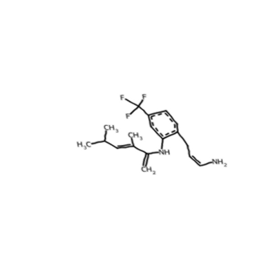 C=C(Nc1cc(C(F)(F)F)ccc1C/C=C\N)/C(C)=C/C(C)C